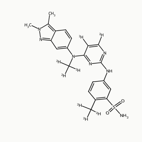 [2H]c1nc(Nc2ccc(C([2H])([2H])[2H])c(S(N)(=O)=O)c2)nc(N(c2ccc3c(C)n(C)nc3c2)C([2H])([2H])[2H])c1[2H]